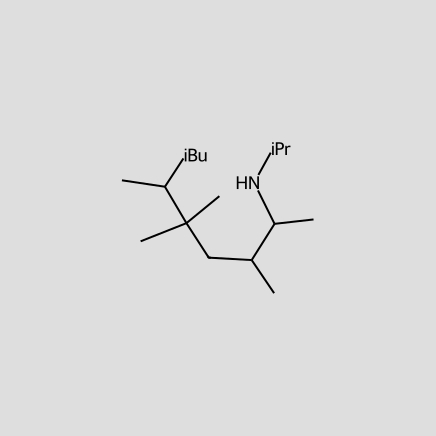 CCC(C)C(C)C(C)(C)CC(C)C(C)NC(C)C